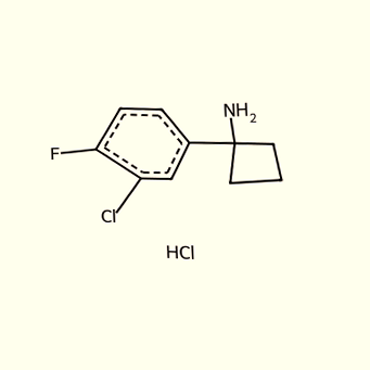 Cl.NC1(c2ccc(F)c(Cl)c2)CCC1